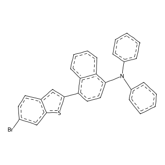 Brc1ccc2cc(-c3ccc(N(c4ccccc4)c4ccccc4)c4ccccc34)sc2c1